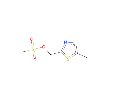 Cc1cnc(COS(C)(=O)=O)s1